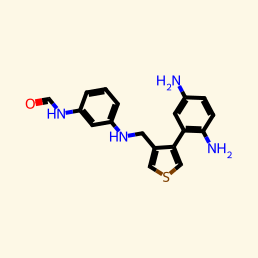 Nc1ccc(N)c(-c2cscc2CNc2cccc(NC=O)c2)c1